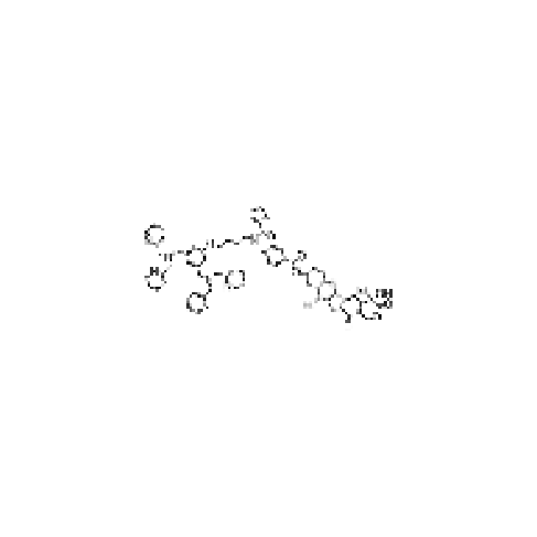 CCc1c2c(nc3ccc(OC(=O)c4ccc(CN(CCCCOc5cc(CN(Cc6ccccn6)Cc6ccccn6)cc(CN(Cc6ccccn6)Cc6ccccn6)c5)C(=O)c5cccs5)cc4)cc13)-c1cc3c(c(=O)n1C2)COC(=O)[C@]3(O)CC